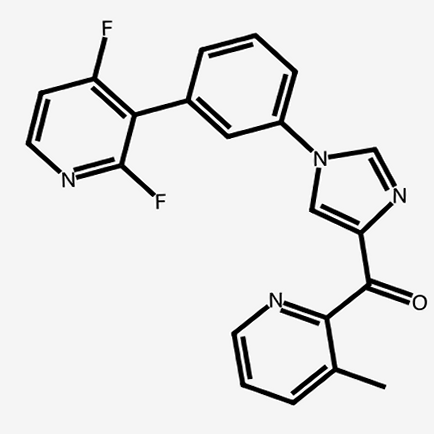 Cc1cccnc1C(=O)c1cn(-c2cccc(-c3c(F)ccnc3F)c2)cn1